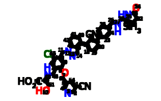 N#Cc1cncc(COc2cc(Cn3ncc4c(-c5cccc(-c6ccc(CNC[C@]7([SiH3])CCC(=O)N7)cc6)c5C#N)cccc43)c(Cl)cc2CN[C@@H](CO)C(=O)O)c1